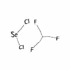 Cl[Se]Cl.FC(F)F